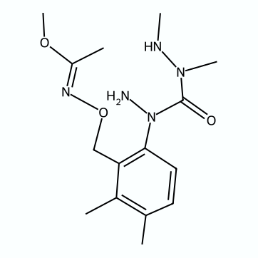 CNN(C)C(=O)N(N)c1ccc(C)c(C)c1CO/N=C(\C)OC